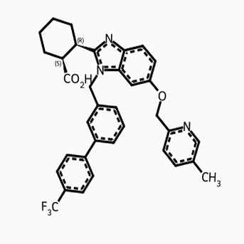 Cc1ccc(COc2ccc3nc([C@@H]4CCCC[C@@H]4C(=O)O)n(Cc4cccc(-c5ccc(C(F)(F)F)cc5)c4)c3c2)nc1